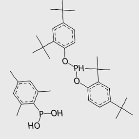 CC(C)(C)c1ccc(OPOc2ccc(C(C)(C)C)cc2C(C)(C)C)c(C(C)(C)C)c1.Cc1cc(C)c(P(O)O)c(C)c1